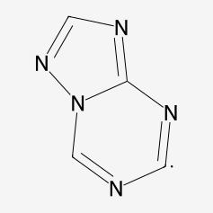 [c]1ncn2ncnc2n1